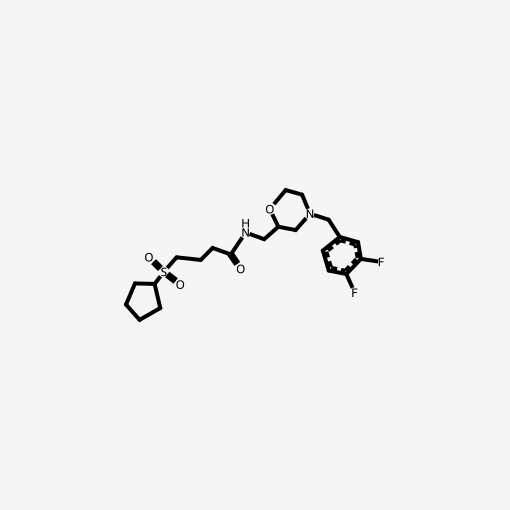 O=C(CCCS(=O)(=O)C1CCCC1)NCC1CN(Cc2ccc(F)c(F)c2)CCO1